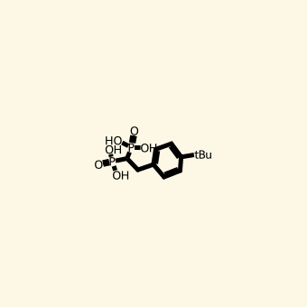 CC(C)(C)c1ccc(CC(P(=O)(O)O)P(=O)(O)O)cc1